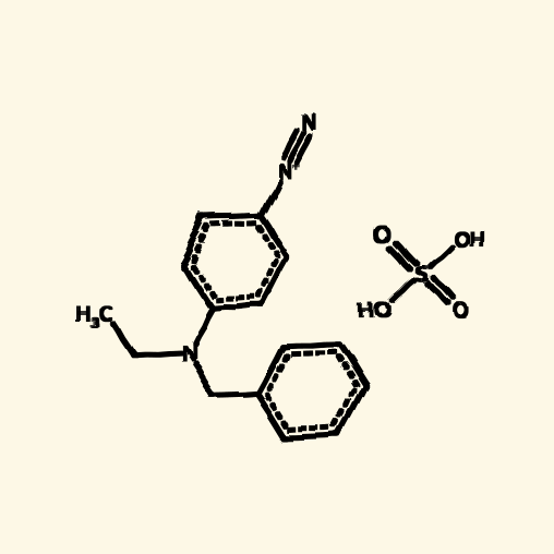 CCN(Cc1ccccc1)c1ccc([N+]#N)cc1.O=S(=O)(O)O